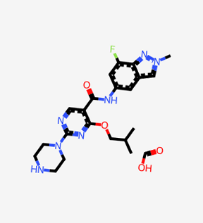 CC(C)COc1nc(N2CCNCC2)ncc1C(=O)Nc1cc(F)c2nn(C)cc2c1.O=CO